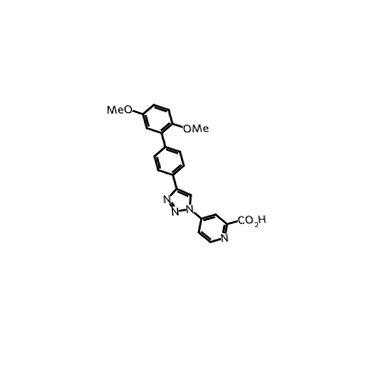 COc1ccc(OC)c(-c2ccc(-c3cn(-c4ccnc(C(=O)O)c4)nn3)cc2)c1